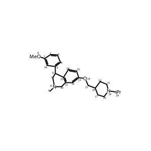 COc1cccc(C2CN(C)Cc3cc(OCC4CCN(C(C)C)CC4)ccc32)c1